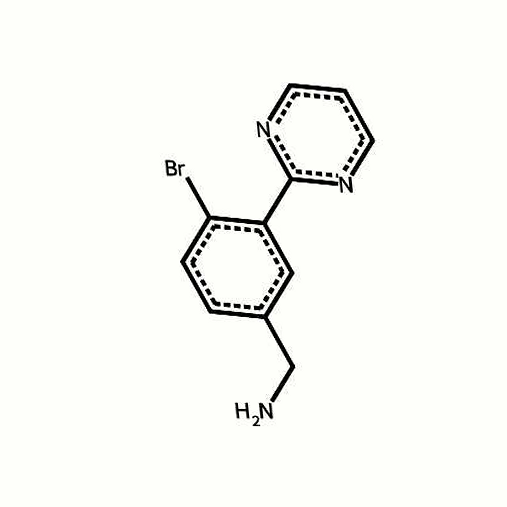 NCc1ccc(Br)c(-c2ncccn2)c1